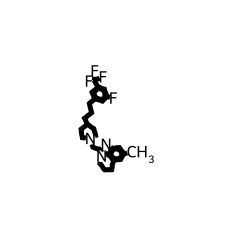 Cc1cc2c3c(c1)nc(CN1CCC(CCCc4cc(F)cc(C(F)(F)F)c4)CC1)n3CCC2